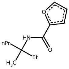 CCCC(C)(CC)NC(=O)c1ccco1